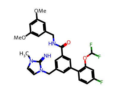 COc1cc(CNC(=O)c2cc(Cn3ccn(C)c3=N)cc(-c3ccc(F)cc3OC(F)F)c2)cc(OC)c1